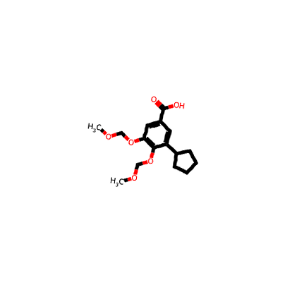 COCOc1cc(C(=O)O)cc(C2CCCC2)c1OCOC